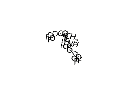 CC1(NC(=O)COc2ccc3c(c2)OC(F)(F)O3)C=C(NC(=O)COc2ccc3c(c2)OC(F)(F)O3)C1